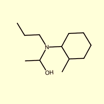 CCCN(C(C)O)C1CCCCC1C